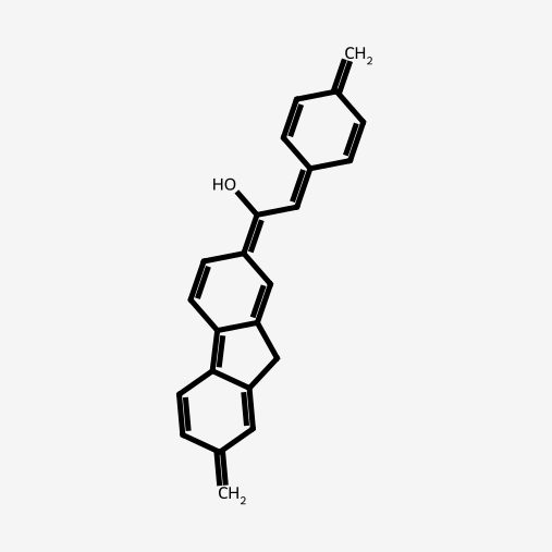 C=c1ccc(=C/C(O)=c2/ccc3c(c2)Cc2cc(=C)ccc2=3)cc1